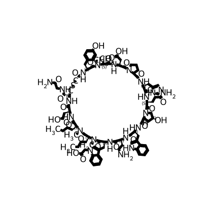 CCCC[C@H]1C(=O)N(C)[C@@H](CCCC)C(=O)N[C@@H](CC(=O)O)C(=O)N[C@H](C(=O)NCC(N)=O)CSCC(=O)N[C@@H](Cc2ccc(O)cc2)C(=O)N(C)[C@@H](C)C(=O)N[C@@H](CC(=O)O)C(=O)N2CCCC2C(=O)N[C@@H](Cc2cnc[nH]2)C(=O)N[C@@H](CCC(N)=O)C(=O)N2C[C@H](O)C[C@H]2C(=O)N[C@@H](Cc2c[nH]c3ccccc23)C(=O)N[C@@H](CCN)C(=O)N[C@@H](Cc2cn(CC(=O)O)c3ccccc23)C(=O)N1C